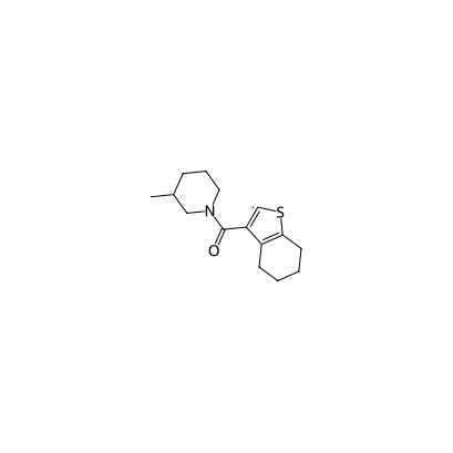 CC1CCCN(C(=O)c2[c]sc3c2CCCC3)C1